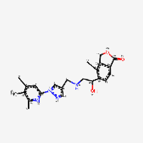 Cc1cc(-n2cc(CNCC(O)c3ccc4c(c3C)COC4=O)cn2)nc(C)c1C#N